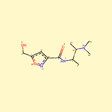 CC(NC(=O)c1cc(CO)on1)C(C)N(C)C